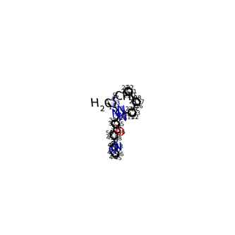 C=C/C(=C\C=C/C)c1nc(-c2cccc(-c3cccc(-c4ccccc4)c3)c2)nc(-c2ccc3c(c2)oc2cc(-c4cn5ccccc5n4)ccc23)n1